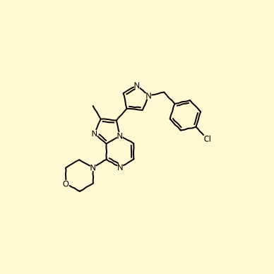 Cc1nc2c(N3CCOCC3)nccn2c1-c1cnn(Cc2ccc(Cl)cc2)c1